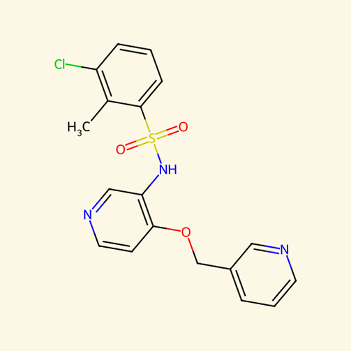 Cc1c(Cl)cccc1S(=O)(=O)Nc1cnccc1OCc1cccnc1